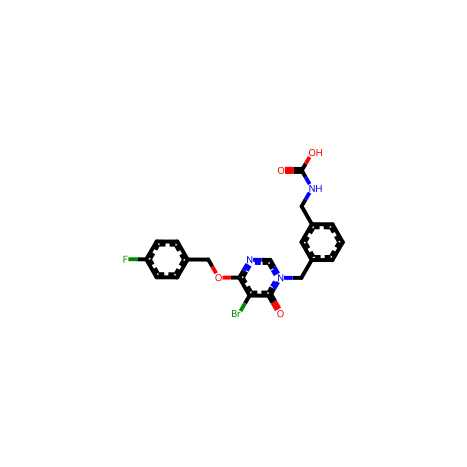 O=C(O)NCc1cccc(Cn2cnc(OCc3ccc(F)cc3)c(Br)c2=O)c1